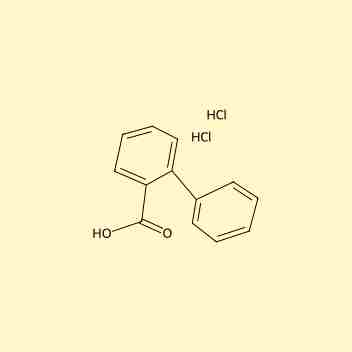 Cl.Cl.O=C(O)c1ccccc1-c1ccccc1